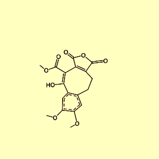 COC(=O)C1=C(O)c2cc(OC)c(OC)cc2CCC2=C1C(=O)OC2=O